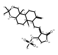 C=C1CCC2C3(C)COC(C)(C)OC3CCC2(C)C1CC=C1C(=O)OCC1OS(C)(=O)=O